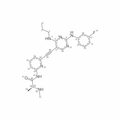 CCCNc1nc(Nc2cccc(F)c2)ncc1C#Cc1cccc(NC(=O)[C@H](C)NC)n1